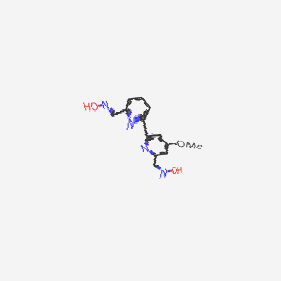 COc1cc(/C=N\O)nc(-c2cccc(C=NO)n2)c1